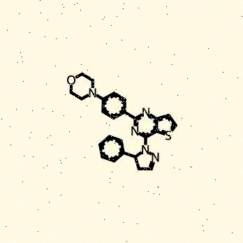 C1=NN(c2nc(-c3ccc(N4CCOCC4)cc3)nc3ccsc23)C(c2ccccc2)C1